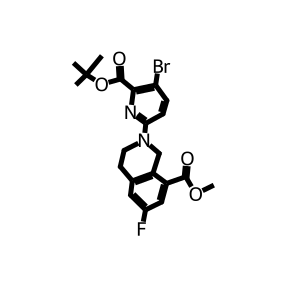 COC(=O)c1cc(F)cc2c1CN(c1ccc(Br)c(C(=O)OC(C)(C)C)n1)CC2